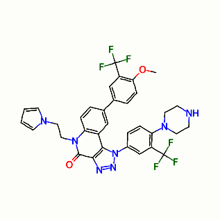 COc1ccc(-c2ccc3c(c2)c2c(nnn2-c2ccc(N4CCNCC4)c(C(F)(F)F)c2)c(=O)n3CCn2cccc2)cc1C(F)(F)F